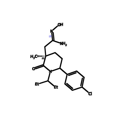 CCC(CC)N1C(=O)[C@@](C)(C/C(N)=N/O)CCC1c1ccc(Cl)cc1